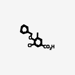 Cc1cc(C(=O)O)cc(Cl)c1OCc1ccccc1